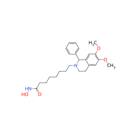 COc1cc2c(cc1OC)C(c1ccccc1)N(CCCCCCCC(=O)NO)CC2